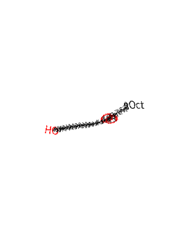 CCCCCCCC/C=C\CCCCCCCC(=O)OCCCCCCCCCCCCCCCCCCCCCCCCCCCCO